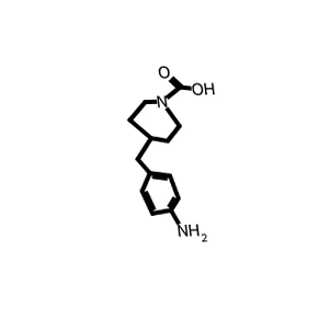 Nc1ccc(CC2CCN(C(=O)O)CC2)cc1